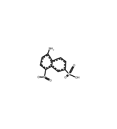 Nc1ccc([N+](=O)[O-])c2cc(S(=O)(=O)O)ccc12